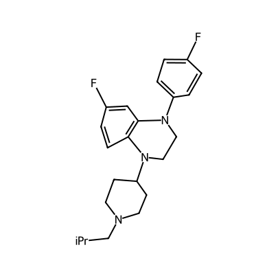 CC(C)CN1CCC(N2CCN(c3ccc(F)cc3)c3cc(F)ccc32)CC1